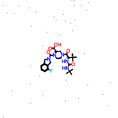 CC(C)(C)NC(=O)N[C@H](C(=O)N1CCN(C(=O)N2Cc3cccc(F)c3C2)[C@@H](C(=O)O)C1)C(C)(C)C